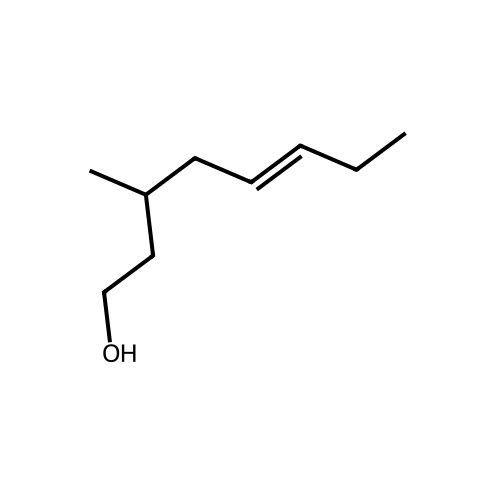 CCC=CCC(C)CCO